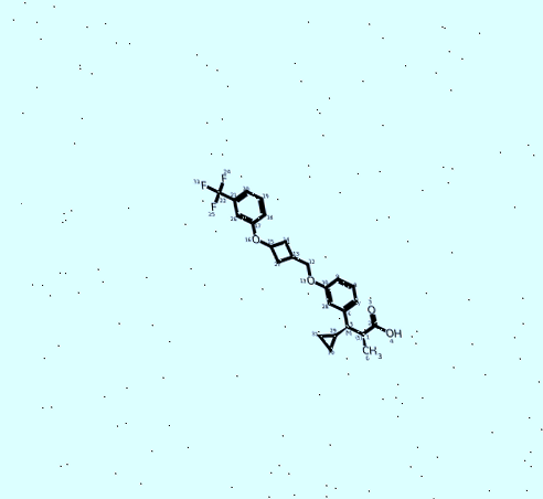 C[C@H](C(=O)O)[C@H](c1cccc(OCC2CC(Oc3cccc(C(F)(F)F)c3)C2)c1)C1CC1